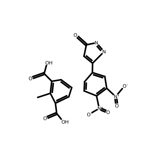 Cc1c(C(=O)O)cccc1C(=O)O.O=C1C=C(c2ccc([N+](=O)[O-])c([N+](=O)[O-])c2)N=N1